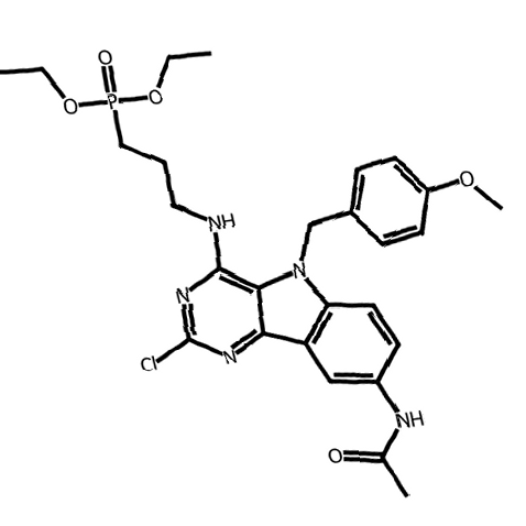 CCOP(=O)(CCCNc1nc(Cl)nc2c3cc(NC(C)=O)ccc3n(Cc3ccc(OC)cc3)c12)OCC